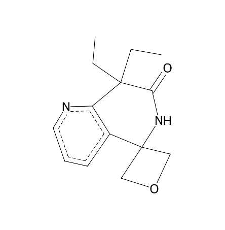 CCC1(CC)C(=O)NC2(COC2)c2cccnc21